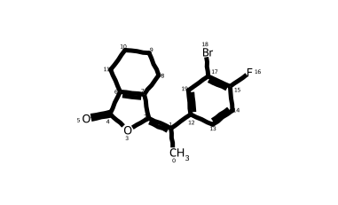 CC(=C1OC(=O)C2=C1CCCC2)c1ccc(F)c(Br)c1